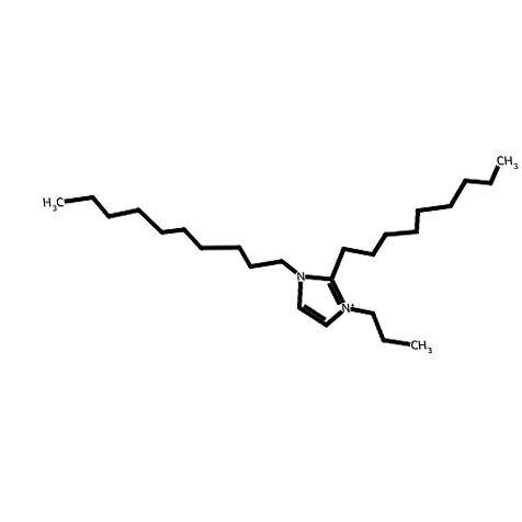 CCCCCCCCCCn1cc[n+](CCC)c1CCCCCCCCC